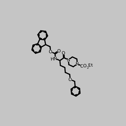 CCOC(=O)N1CCN(C(=O)C(CCCCOCc2ccccc2)NC(=O)OCC2c3ccccc3-c3ccccc32)CC1